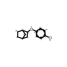 Clc1ccc(OC2CC3CCC2C3)cc1